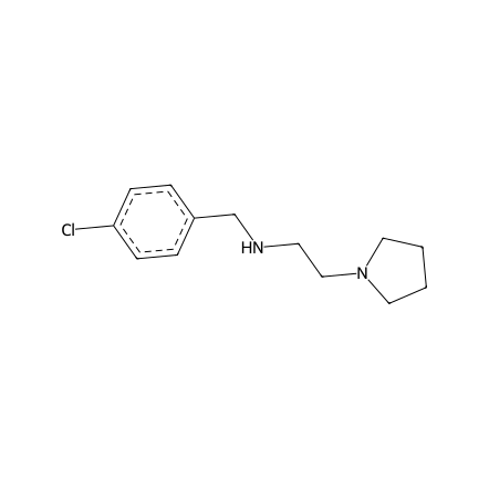 Clc1ccc(CNCCN2CCCC2)cc1